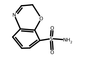 NS(=O)(=O)c1cccc2c1OCC=N2